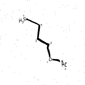 CC(=O)OCCC[SiH3]